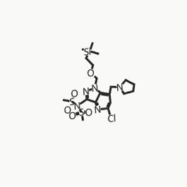 C[Si](C)(C)CCOCn1nc(N(S(C)(=O)=O)S(C)(=O)=O)c2nc(Cl)cc(CN3CCCC3)c21